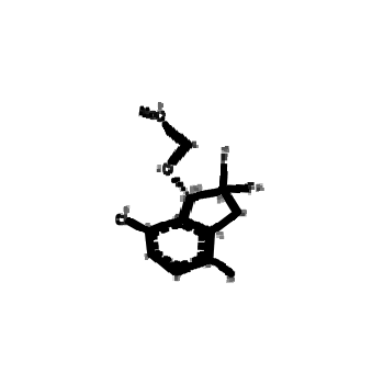 COCO[C@H]1c2c(Cl)ccc(C)c2CC1(F)F